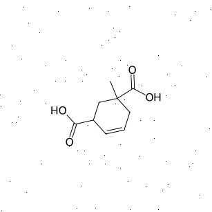 CC1(C(=O)O)CC=CC(C(=O)O)C1